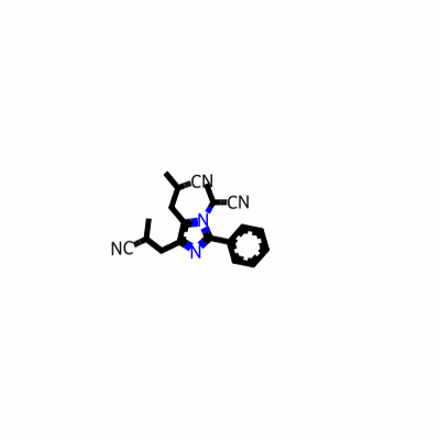 CC(C#N)Cc1nc(-c2ccccc2)n(C(C)C#N)c1CC(C)C#N